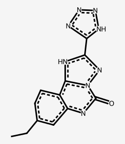 CCc1ccc2c(c1)nc(=O)n1nc(-c3nnn[nH]3)[nH]c21